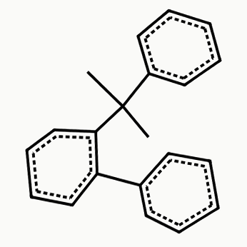 CC(C)(c1ccccc1)c1ccccc1-c1ccccc1